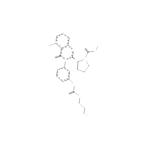 COCCNC(=O)Nc1cccc(-n2c([C@@H]3CCCN3C(=O)OC(C)(C)C)nc3cccc(Cl)c3c2=O)c1